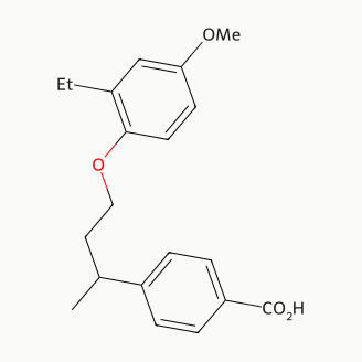 CCc1cc(OC)ccc1OCCC(C)c1ccc(C(=O)O)cc1